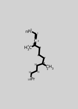 CCCC=C=C(C)CCCC(C)CCCC(C)C